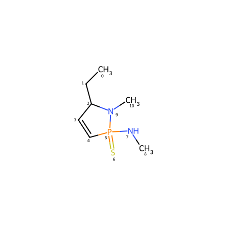 CCC1C=CP(=S)(NC)N1C